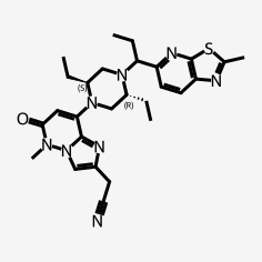 CCC(c1ccc2nc(C)sc2n1)N1C[C@H](CC)N(c2cc(=O)n(C)n3cc(CC#N)nc23)C[C@H]1CC